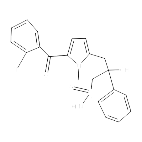 Cn1c(CC(O)(CS(N)(=O)=O)c2ccccc2)ccc1C(=O)c1ccccc1Cl